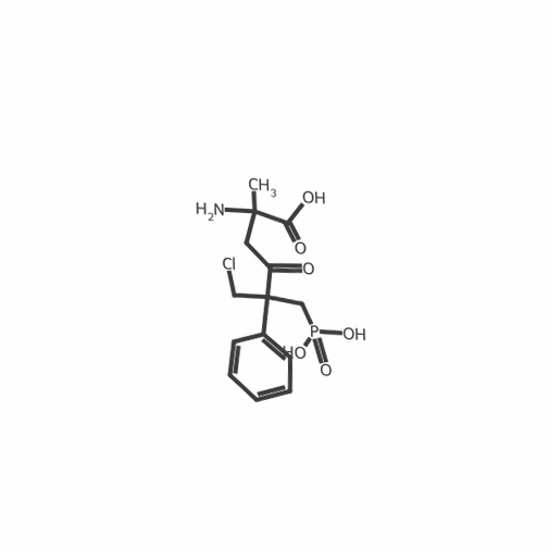 CC(N)(CC(=O)C(CCl)(CP(=O)(O)O)c1ccccc1)C(=O)O